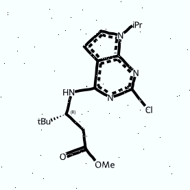 COC(=O)C[C@@H](Nc1nc(Cl)nc2c1ccn2C(C)C)C(C)(C)C